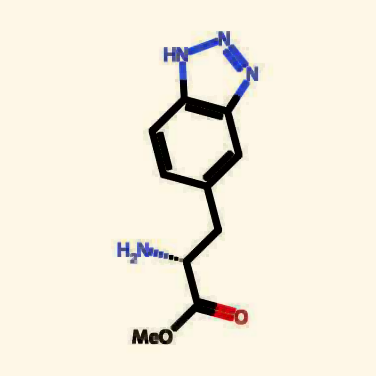 COC(=O)[C@H](N)Cc1ccc2[nH]nnc2c1